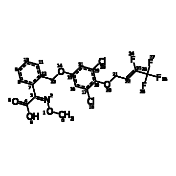 CON=C(C(=O)O)c1ccccc1COc1cc(Cl)c(OCC=C(F)C(F)(F)F)c(Cl)c1